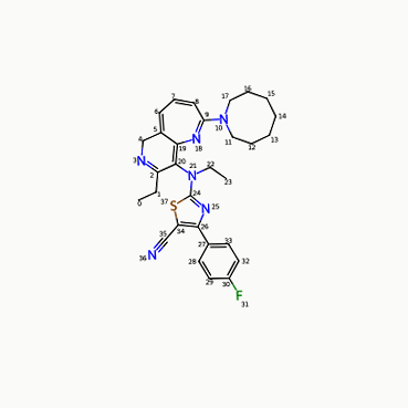 CCC1=NCC2=CC=CC(N3CCCCCCC3)=NC2=C1N(CC)c1nc(-c2ccc(F)cc2)c(C#N)s1